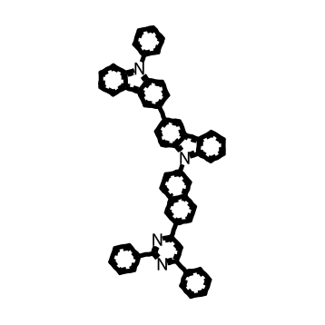 c1ccc(-c2cc(-c3ccc4cc(-n5c6ccccc6c6cc(-c7ccc8c(c7)c7ccccc7n8-c7ccccc7)ccc65)ccc4c3)nc(-c3ccccc3)n2)cc1